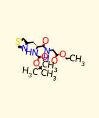 CCOC(=O)CNC(=O)[C@@H](Cc1cscn1)NC(=O)OC(C)(C)C